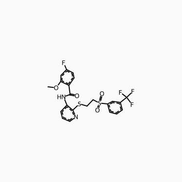 COc1cc(F)ccc1C(=O)Nc1cccnc1SCCS(=O)(=O)c1cccc(C(F)(F)F)c1